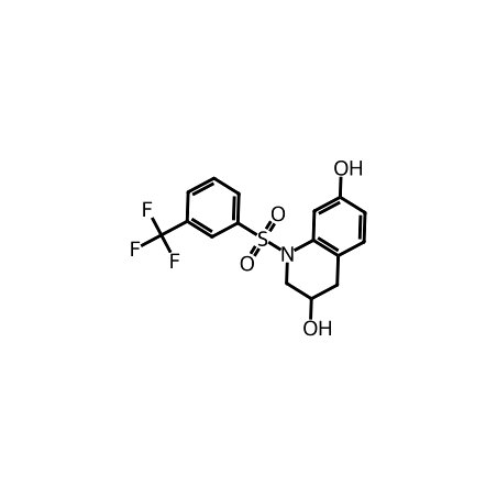 O=S(=O)(c1cccc(C(F)(F)F)c1)N1CC(O)Cc2ccc(O)cc21